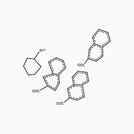 O=C([O-])c1ccc2ccccc2c1.O=C([O-])c1ccc2ccccc2c1.O=C([O-])c1ccc2ccccc2c1.[Sn+3][CH]1CCCCC1